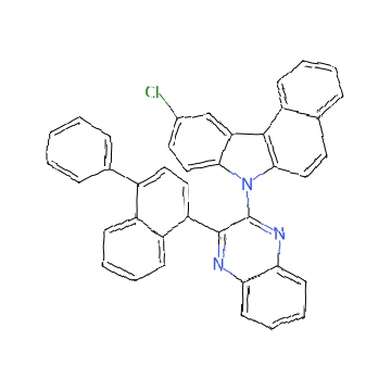 Clc1ccc2c(c1)c1c3ccccc3ccc1n2-c1nc2ccccc2nc1-c1ccc(-c2ccccc2)c2ccccc12